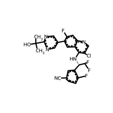 CC(C)(O)c1ncc(-c2cc3c(N[C@@H](c4cc(C#N)ccc4F)C(F)F)c(Cl)cnc3cc2F)cn1